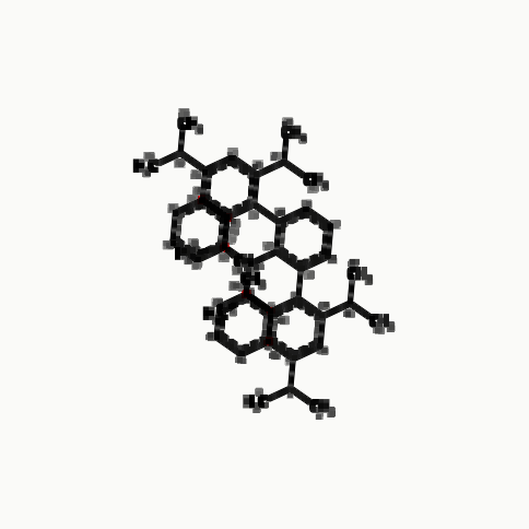 CC(C)c1cc(C(C)C)c(-c2cccc(-c3c(C(C)C)cc(C(C)C)cc3C(C)C)c2P(c2ccccc2)c2ccccc2)c(C(C)C)c1